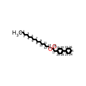 CCCCCCCCCCCCCCOC(=O)Cc1ccc(-c2ccccc2)cc1